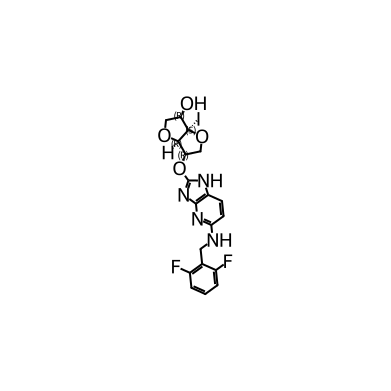 O[C@@H]1CO[C@@H]2[C@H](Oc3nc4nc(NCc5c(F)cccc5F)ccc4[nH]3)CO[C@]12I